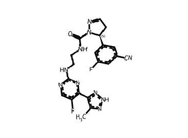 Cc1n[nH]nc1-c1nc(NCCNC(=O)N2N=CC[C@H]2c2cc(F)cc(C#N)c2)ncc1F